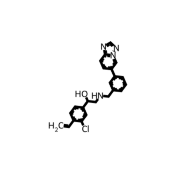 C=Cc1ccc(C(O)CNCc2cccc(-c3ccc4ncnn4c3)c2)cc1Cl